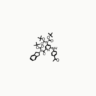 CC(=O)c1ccc(Nc2cc(N(C(=O)OC(C)(C)C)C(=O)OC(C)(C)C)cc(C(=O)N(C(=O)OC(C)(C)C)C3Cc4ccccc4C3)n2)cc1